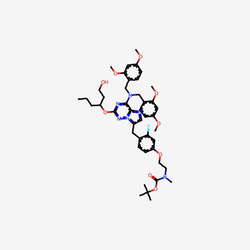 CCCC(CCO)Oc1nc(N(Cc2ccc(OC)cc2OC)Cc2ccc(OC)cc2OC)c2ncc(Cc3ccc(OCCN(C)C(=O)OC(C)(C)C)cc3F)n2n1